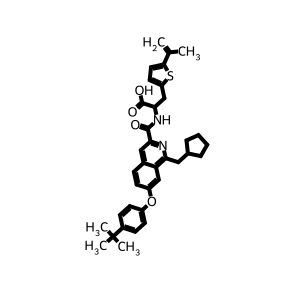 C=C(C)c1ccc(CC(NC(=O)c2cc3ccc(Oc4ccc(C(C)(C)C)cc4)cc3c(CC3CCCC3)n2)C(=O)O)s1